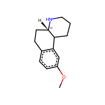 COc1ccc2c(c1)C1CCCN[C@H]1CC2